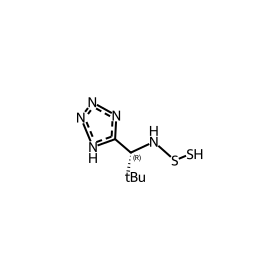 CC(C)(C)[C@@H](NSS)c1nnn[nH]1